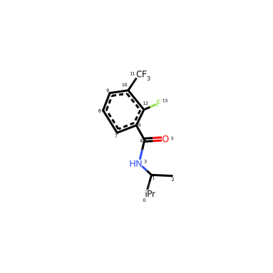 CC(C)C(C)NC(=O)c1cccc(C(F)(F)F)c1F